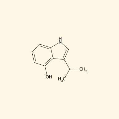 CC(C)c1c[nH]c2cccc(O)c12